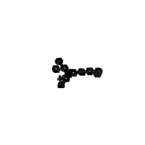 CC1(C)c2ccccc2-c2ccc(N(c3ccc(-c4ccc(-c5ccc(C67CC8CC(CC(C8)C6)C7)cc5)cc4)cc3)c3ccc(-c4ccccc4)c(-c4ccccc4)c3)cc21